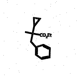 CCOC(=O)C(C)(Cc1ccccc1)C1CC1